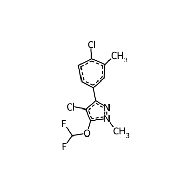 Cc1cc(-c2nn(C)c(OC(F)F)c2Cl)ccc1Cl